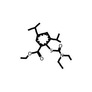 CCOC(=O)c1cc(C(C)C)cc(C(C)C)c1SC(=O)N(CC)CC